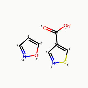 O=C(O)c1cnsc1.c1cnoc1